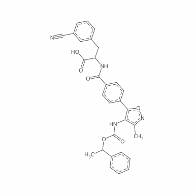 Cc1noc(-c2ccc(C(=O)NC(Cc3cccc(C#N)c3)C(=O)O)cc2)c1NC(=O)OC(C)c1ccccc1